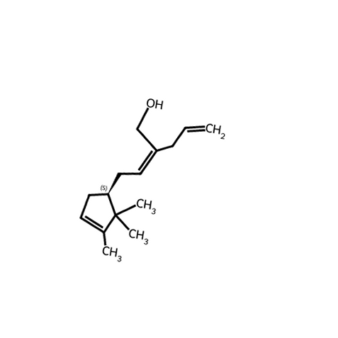 C=CCC(=CC[C@@H]1CC=C(C)C1(C)C)CO